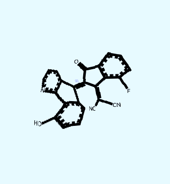 N#CC(C#N)=C1/C(=C2/c3cccnc3-c3c(O)cccc32)C(=O)c2cccc(F)c21